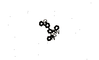 c1ccc2c(c1)nc1sc3nc4ccccc4n3c3cc(-c4ccc5oc6ccccc6c5c4)ccc3n12